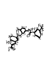 COC(=O)c1cc2cc(NCc3cc(NC(=O)c4cccc(C(F)(F)F)c4)ccc3C)cnc2[nH]1